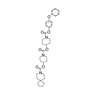 O=C(Oc1ccc(Oc2ccccc2)cc1)N1CCC(OC(=O)N2CCC(OC(=O)N3CCC4(CCCC4)CC3)CC2)CC1